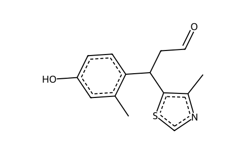 Cc1cc(O)ccc1C(CC=O)c1scnc1C